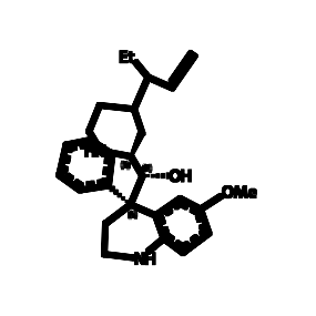 C=CC(CC)C1CCN[C@H]([C@H](O)[C@]2(c3ccccc3)CCNc3ccc(OC)cc32)C1